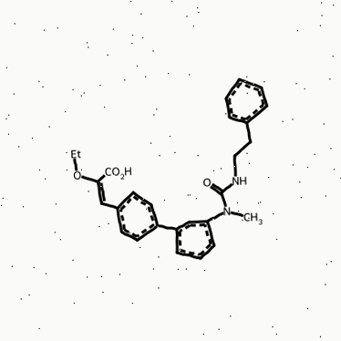 CCO/C(=C/c1ccc(-c2cccc(N(C)C(=O)NCCc3ccccc3)c2)cc1)C(=O)O